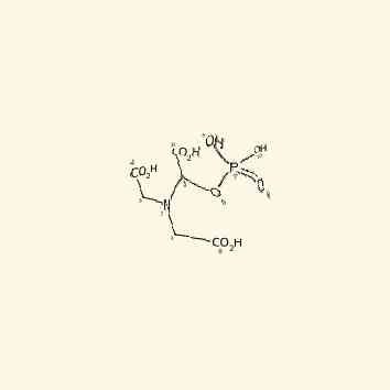 O=C(O)CN(CC(=O)O)C(OP(=O)(O)O)C(=O)O